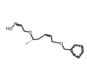 C[C@@H](C/C=C\COCc1ccccc1)OC/C=N\O